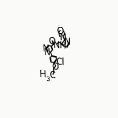 CCCOc1ccc(-c2cc(C(=O)NCc3cccnc3N3CCOCC3)cnn2)cc1Cl